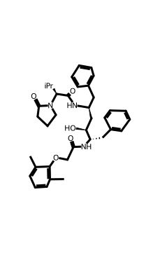 Cc1cccc(C)c1OCC(=O)N[C@@H](Cc1ccccc1)[C@@H](O)C[C@H](Cc1ccccc1)NC(=O)[C@H](C(C)C)N1CCCC1=O